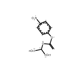 C=C(Oc1ccc([N+](=O)[O-])cc1)OC(CCCCCCCC)CCCCCCCC